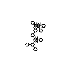 N=C(/C(=C1\NC(c2ccccc2)=Cc2cc(-c3cccc(-c4cc(-c5cc(-c6ccccc6)cc(-c6ccccc6)c5)nc(-c5ccccc5)n4)c3)ccc21)c1ccccc1)c1ccccc1